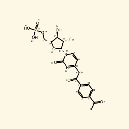 CC(=O)c1ccc(C(=O)Nc2ccn([C@@H]3O[C@H](COP(=O)(O)O)[C@@H](O)[C@@H]3F)c(=O)n2)cc1